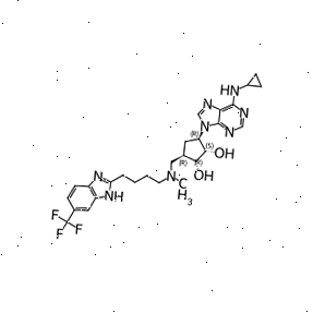 CN(CCCCc1nc2ccc(C(F)(F)F)cc2[nH]1)C[C@H]1C[C@@H](n2cnc3c(NC4CC4)ncnc32)[C@H](O)[C@@H]1O